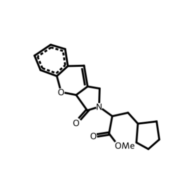 COC(=O)C(CC1CCCC1)N1CC2=Cc3ccccc3OC2C1=O